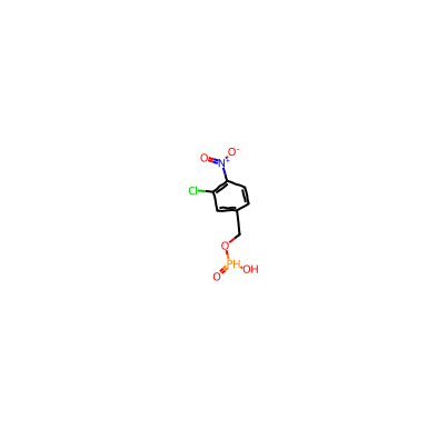 O=[N+]([O-])c1ccc(CO[PH](=O)O)cc1Cl